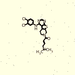 CN(C)CC=CC(=O)N1CCc2c(sc3ncnc(Nc4ccc(Cl)c(Cl)c4)c23)C1